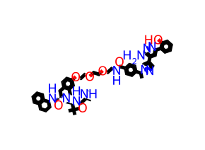 CN[C@@H](C)C(=O)N[C@H](CN1Cc2cc(OCCOCCOCCNC(=O)c3ccc(C(C)n4cc(-c5cc(-c6ccccc6O)nnc5N)cn4)cc3)ccc2C[C@H]1C(=O)N[C@@H]1CCCc2ccccc21)C(C)(C)C